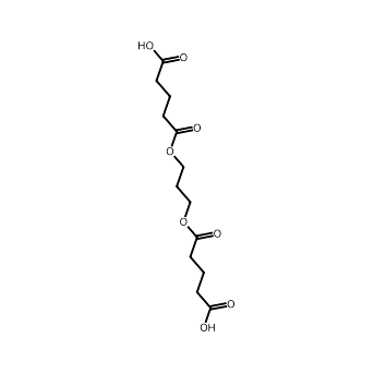 O=C(O)CCCC(=O)OCCCOC(=O)CCCC(=O)O